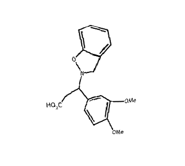 COc1ccc(C(CC(=O)O)N2Cc3ccccc3O2)cc1OC